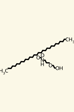 CCCCCCCCCCCCCCC(CCCCCCCCCCCCCC)OC(=O)NCCCOCCO